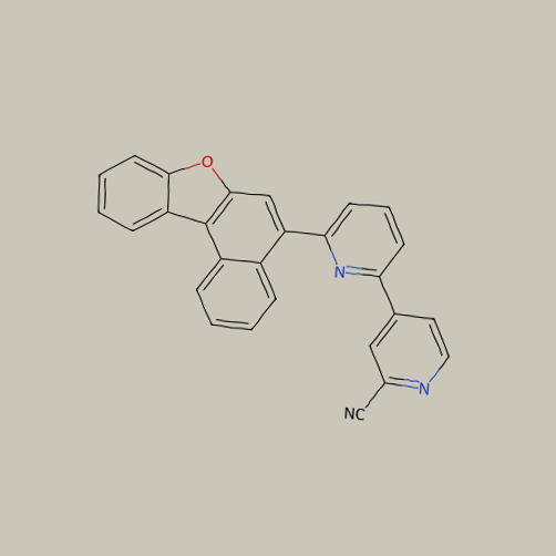 N#Cc1cc(-c2cccc(-c3cc4oc5ccccc5c4c4ccccc34)n2)ccn1